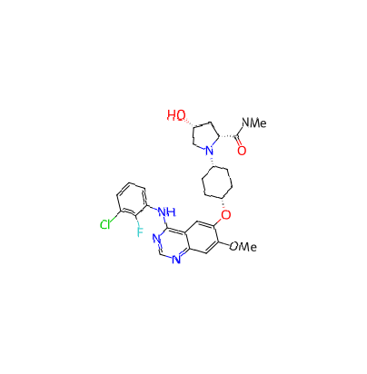 CNC(=O)[C@H]1C[C@@H](O)CN1[C@H]1CC[C@@H](Oc2cc3c(Nc4cccc(Cl)c4F)ncnc3cc2OC)CC1